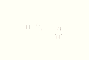 COC(=O)C1CCCC(c2cnccn2)C1